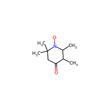 CC1C(=O)CC(C)(C)N([O])C1C